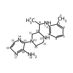 Cc1ccccc1NC(C)C1CN(c2nccnc2N)CCN1